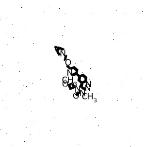 CO[C@H]1C[C@@H](n2c(=O)n(C)c3nnc4ccc(-c5ccc(COCCN6CC7CC7C6)nc5)cc4c32)C1